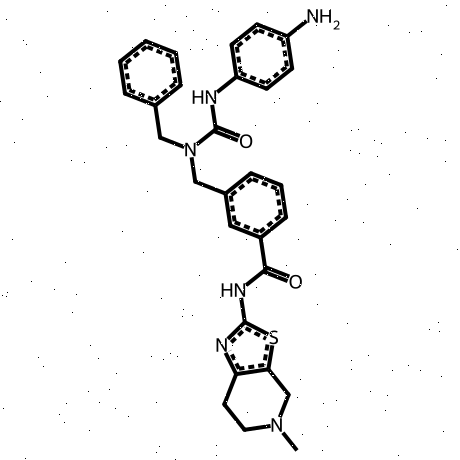 CN1CCc2nc(NC(=O)c3cccc(CN(Cc4ccccc4)C(=O)Nc4ccc(N)cc4)c3)sc2C1